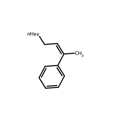 CCCCCCC/C=C(/C)c1ccccc1